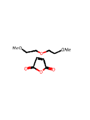 COCCOCCOC.O=C1C=CC(=O)O1